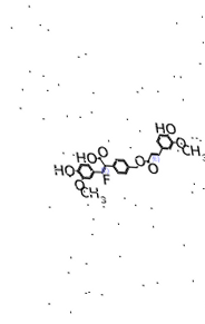 COc1cc(/C=C/C(=O)OCc2ccc(/C(C(=O)O)=C(\F)c3ccc(O)c(OC)c3)cc2)ccc1O